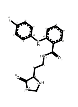 O=C(NCCC1NCNC1=O)c1ccccc1Nc1ccc(F)cc1